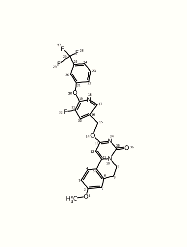 COc1ccc2c(c1)CCn1c-2cc(OCc2cnc(Oc3cccc(C(F)(F)F)c3)c(F)c2)nc1=O